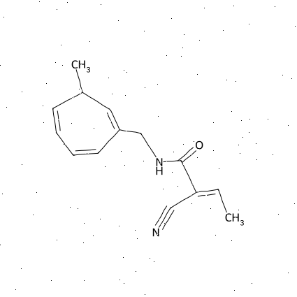 C/C=C(\C#N)C(=O)NCC1=CC(C)C=CC=C1